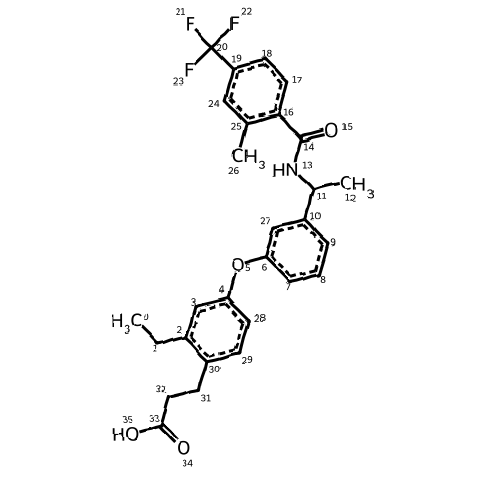 CCc1cc(Oc2cccc(C(C)NC(=O)c3ccc(C(F)(F)F)cc3C)c2)ccc1CCC(=O)O